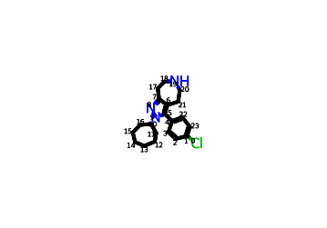 Clc1ccc(-c2c3c(nn2C2CCCCCC2)CCNCC3)cc1